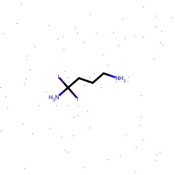 NCCCC(N)(I)I